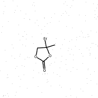 CCC1(C)COC(=O)O1